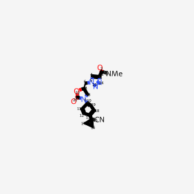 CNC(=O)c1cn(C[C@H]2CN(c3ccc(C4(C#N)CC4)cc3)C(=O)O2)nn1